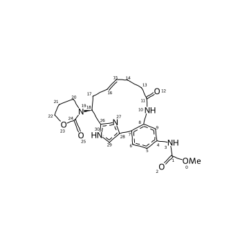 COC(=O)Nc1ccc2c(c1)NC(=O)CC/C=C/C[C@H](N1CCCOC1=O)c1nc-2c[nH]1